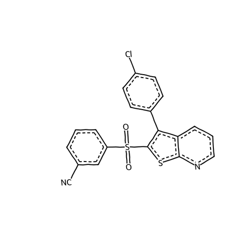 N#Cc1cccc(S(=O)(=O)c2sc3ncccc3c2-c2ccc(Cl)cc2)c1